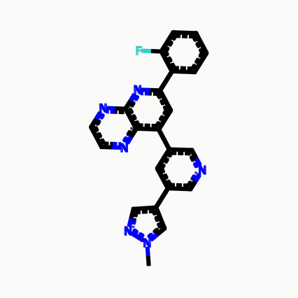 Cn1cc(-c2cncc(-c3cc(-c4ccccc4F)nc4nccnc34)c2)cn1